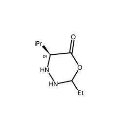 CCC1NN[C@@H](C(C)C)C(=O)O1